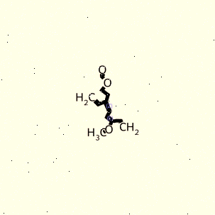 C=C/C(=C\C=C(/C=C)OC)CCOC=O